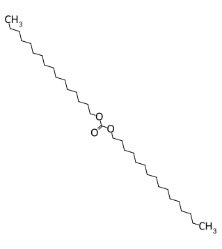 CCCCCCCCCCCCCCCCOC(=O)OCCCCCCCCCCCCCCCC